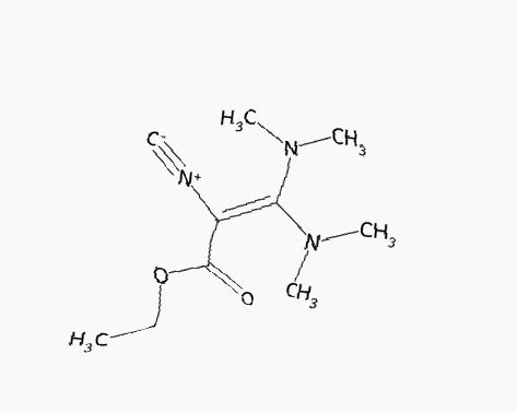 [C-]#[N+]C(C(=O)OCC)=C(N(C)C)N(C)C